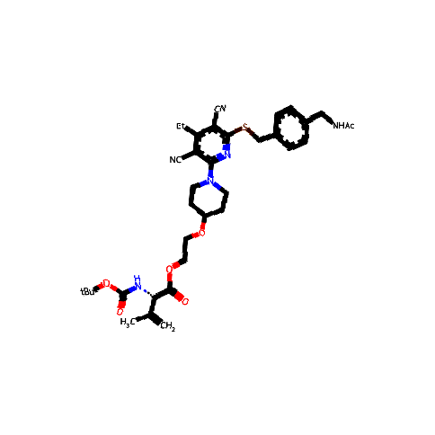 C=C(C)[C@H](NC(=O)OC(C)(C)C)C(=O)OCCOC1CCN(c2nc(SCc3ccc(CNC(C)=O)cc3)c(C#N)c(CC)c2C#N)CC1